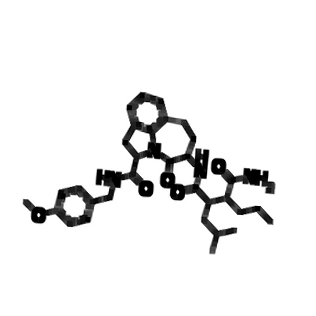 CCCC(C(N)=O)C(CC(C)C)C(=O)NC1CCc2cccc3c2N(C1=O)C(C(=O)NCc1ccc(OC)cc1)C3